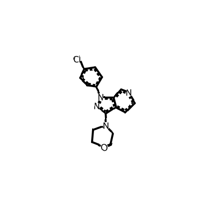 Clc1ccc(-n2nc(N3CCOCC3)c3ccncc32)cc1